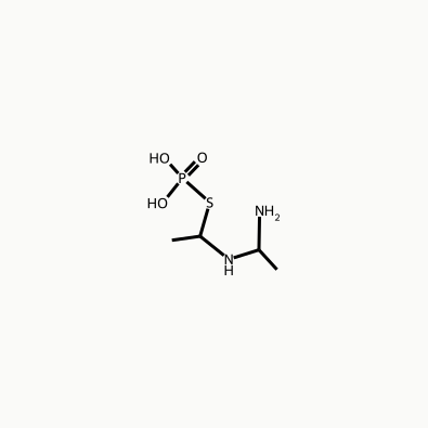 CC(N)NC(C)SP(=O)(O)O